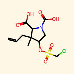 C=CCC1(C)C(OS(=O)(=O)CCl)CN(C(=O)O)C1C(=O)O